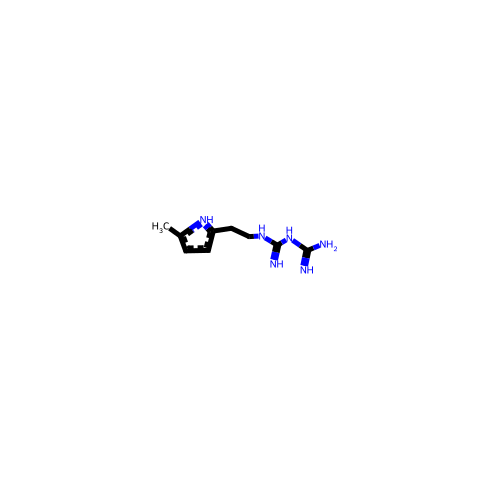 Cc1ccc(CCNC(=N)NC(=N)N)[nH]1